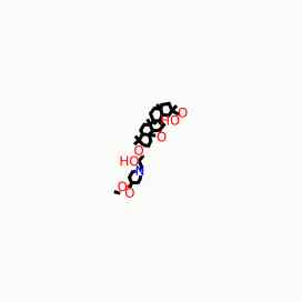 CCOC(=O)C1CCN(CC(O)COC2CCC3(C)C(CCC4(C)C3C(=O)C=C3C5CC(C)(C(=O)O)CCC5(C)CCC34C)C2(C)C)CC1